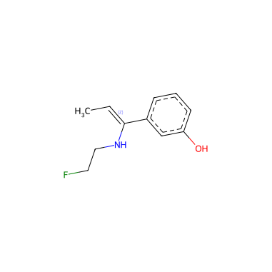 C/C=C(\NCCF)c1cccc(O)c1